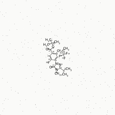 CC(C)c1nn(-c2cc(O[C@@H](C)C(F)(F)F)c(C(=O)OC(C)(C)C)cc2F)c(=O)n1C